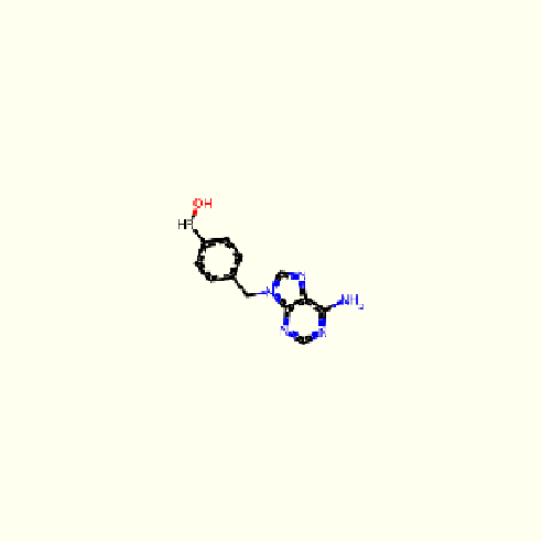 Nc1ncnc2c1ncn2Cc1ccc(BO)cc1